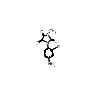 CN1C(=O)C(=O)N(c2ccc(N)cc2Cl)C1=O